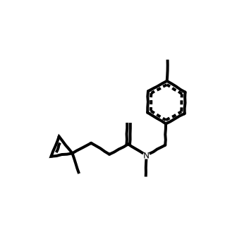 C=C(CCC1(C)C=C1)N(C)Cc1ccc(C)cc1